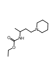 CCOC(=O)NC(C)CCN1CCCCC1